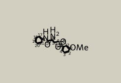 COc1cccc(S(=O)(=O)CCC(N)C(=O)Nc2ccccc2)c1